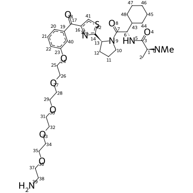 CN[C@@H](C)C(=O)N[C@H](C(=O)N1CCC[C@H]1c1nc(C(=O)c2cccc(OCCOCCOCCOCCOCCN)c2)cs1)C1CCCCC1